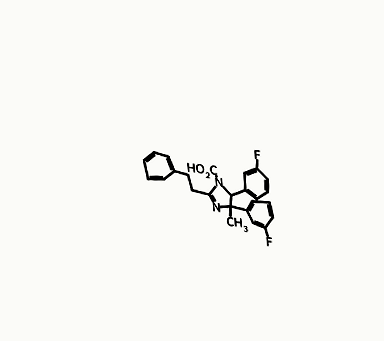 CC1(c2cccc(F)c2)N=C(CCc2ccccc2)N(C(=O)O)C1c1cccc(F)c1